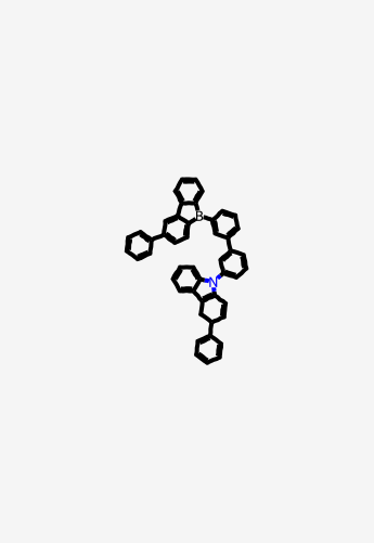 C1=CC(c2ccccc2)Cc2c1n(-c1cccc(-c3cccc(B4c5ccccc5-c5cc(-c6ccccc6)ccc54)c3)c1)c1ccccc21